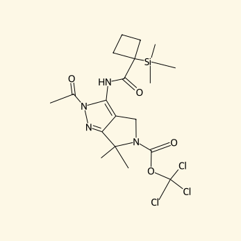 CC(=O)n1nc2c(c1NC(=O)C1([Si](C)(C)C)CCC1)CN(C(=O)OC(Cl)(Cl)Cl)C2(C)C